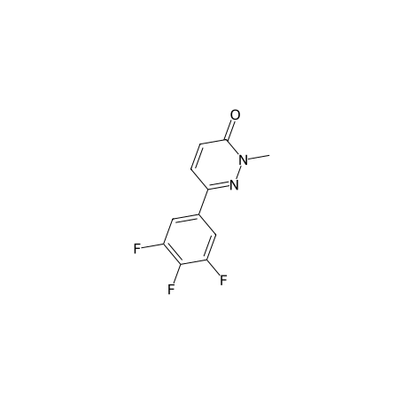 Cn1nc(-c2cc(F)c(F)c(F)c2)ccc1=O